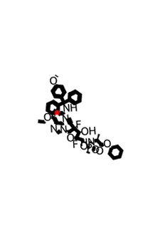 C#C[C@]1(F)[C@H](n2cnc3c(OCC)nc(NC(c4ccccc4)(c4ccccc4)c4ccc(OC)cc4)nc32)O[C@](F)(COP(C)(=O)N[C@@H](C)C(=O)OC2CCCCC2)[C@H]1O